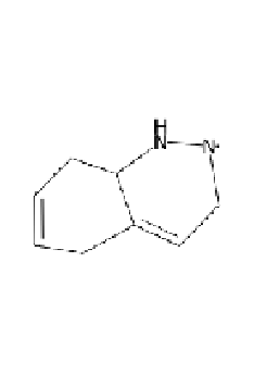 C1=CCC2N[N]CC=C2C1